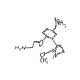 COn1nccc1-c1cc(N)ccc1OCCN